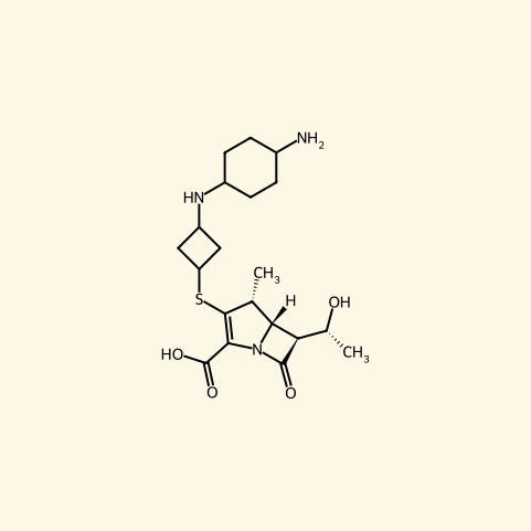 C[C@@H](O)[C@H]1C(=O)N2C(C(=O)O)=C(SC3CC(NC4CCC(N)CC4)C3)[C@H](C)[C@H]12